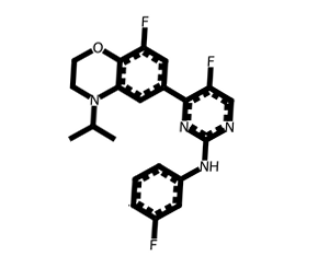 CC(C)N1CCOc2c(F)cc(-c3nc(Nc4cc[c]c(F)c4)ncc3F)cc21